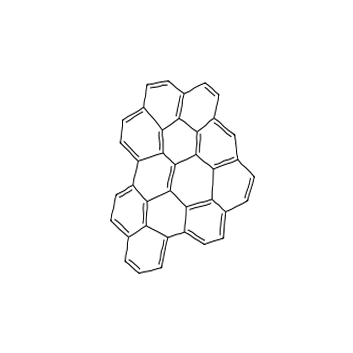 c1cc2ccc3c4ccc5ccc6ccc7cc8ccc9ccc%10c(c1)c2c3c1c%10c9c8c2c7c6c5c4c21